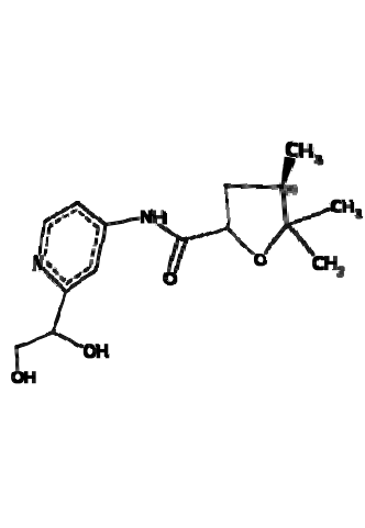 C[C@@H]1CC(C(=O)Nc2ccnc(C(O)CO)c2)OC1(C)C